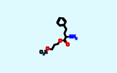 NC(CCc1ccccc1)C(=O)OCCCO[N+](=O)[O-]